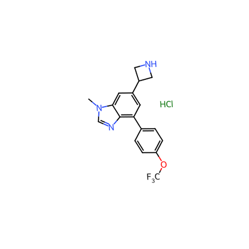 Cl.Cn1cnc2c(-c3ccc(OC(F)(F)F)cc3)cc(C3CNC3)cc21